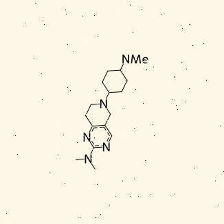 CNC1CCC(N2CCc3nc(N(C)C)ncc3C2)CC1